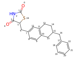 O=C1NC(=O)C(Cc2ccc3c(c2)CCC(Cc2ccccc2)C3)S1